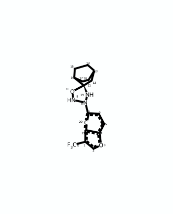 FC(F)(F)c1coc2ccc(N3NO[C@]4(CC5CCC4CC5)N3)cc12